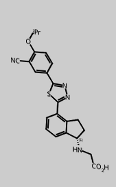 CC(C)Oc1ccc(-c2nnc(-c3cccc4c3CC[C@@H]4NCC(=O)O)s2)cc1C#N